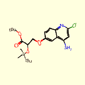 CC(C)(C)OC(=O)C(COc1ccc2nc(Cl)cc(N)c2c1)O[Si](C)(C)C(C)(C)C